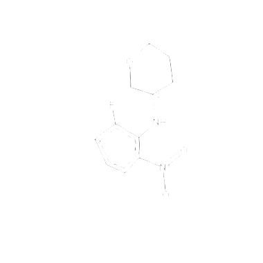 O=[N+]([O-])c1cccc(F)c1N[C@H]1CCCOC1